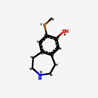 CSc1cc2c(cc1O)CCNCC2